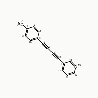 CC(=O)c1ccc(C#CC#Cc2cccnc2)cc1